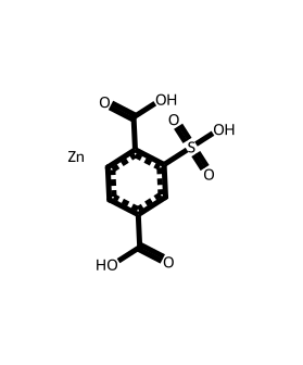 O=C(O)c1ccc(C(=O)O)c(S(=O)(=O)O)c1.[Zn]